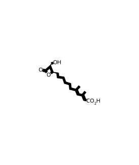 CC(=C\C(=O)O)/C=C(\C)CCCCCC[C@H]1OC(=O)[C@@H]1CO